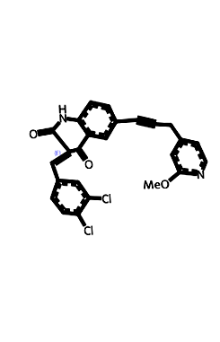 COc1cc(CC#Cc2ccc3c(c2)C(=O)/C(=C\c2ccc(Cl)c(Cl)c2)C(=O)N3)ccn1